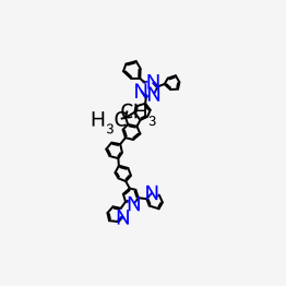 CC1(C)c2cc(-c3cccc(-c4ccc(-c5cc(-c6ccccn6)nc(-c6ccccn6)c5)cc4)c3)ccc2-c2ccc(-c3nc(-c4ccccc4)nc(-c4ccccc4)n3)cc21